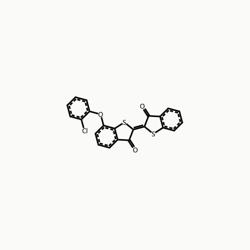 O=C1C(=C2Sc3c(Oc4ccccc4Cl)cccc3C2=O)Sc2ccccc21